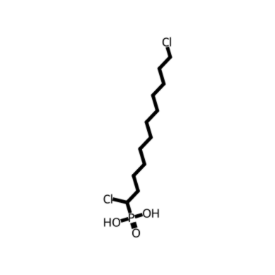 O=P(O)(O)C(Cl)CCCCCCCCCCCCl